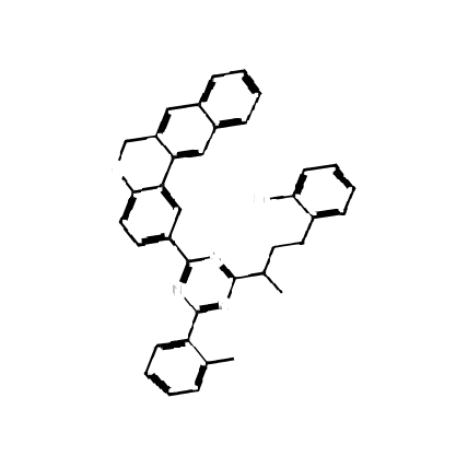 CCc1ccccc1CCC(C)c1nc(-c2ccc3c(c2)-c2cc4ccccc4cc2CO3)nc(-c2ccccc2C)n1